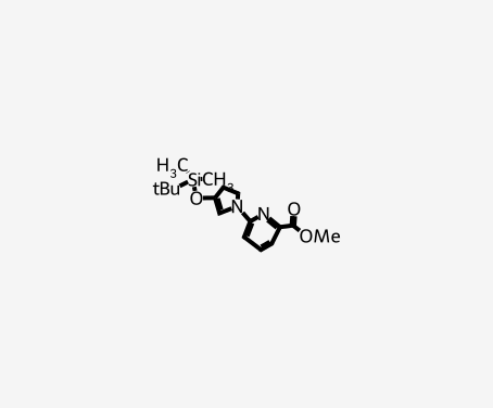 COC(=O)c1cccc(N2C=C(O[Si](C)(C)C(C)(C)C)CC2)n1